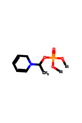 CCOP(=O)(OCC)OC(C)N1C=CC=CC1